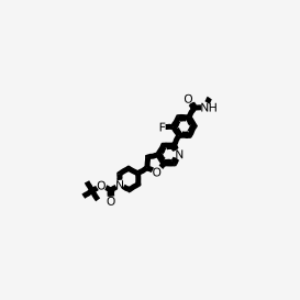 CNC(=O)c1ccc(-c2cc3c(cn2)OC(C2CCN(C(=O)OC(C)(C)C)CC2)C3)c(F)c1